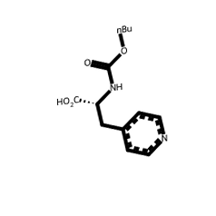 CCCCOC(=O)N[C@H](Cc1ccncc1)C(=O)O